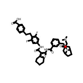 CN(C)CC(=O)N1C2CCC1CN(Cc1cccc(C(=O)Nc3sc4c(c3C(=O)Nc3cc(F)c(CCc5ccc(C(=O)O)cc5)c(F)c3)CCCC4)c1)C2